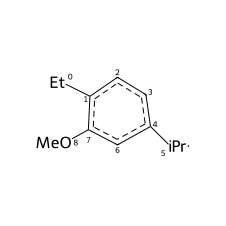 CCc1ccc([C](C)C)cc1OC